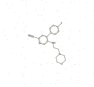 N#Cc1cc(-c2ccc(F)cc2)c(NCCN2CCOCC2)cn1